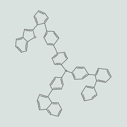 c1ccc(-c2ccccc2-c2ccc(N(c3ccc(-c4ccc(-c5ccccc5-c5cc6ccccc6o5)cc4)cc3)c3ccc(-c4cccc5ccccc45)cc3)cc2)cc1